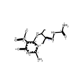 C/C(=N/NC(N)=O)C(C)Nc1nc(N)[nH]c(=O)c1[N+](=O)[O-]